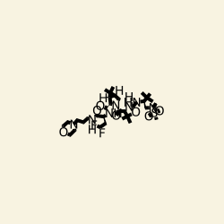 CN(C[C@@H](NC(=O)N[C@H](C(=O)N1C[C@H]2[C@@H]([C@H]1C(=O)N[C@@H](CC(F)F)C(=O)NCCCN1CCOCC1)C2(C)C)C(C)(C)C)C(C)(C)C)S(C)(=O)=O